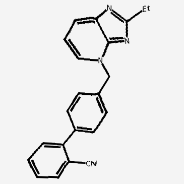 CCc1nc2cccn(Cc3ccc(-c4ccccc4C#N)cc3)c-2n1